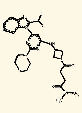 CN(C)C(=O)CCC(=O)N1CC(Nc2cc(-n3c(C(F)F)nc4ccccc43)nc(N3CCOCC3)n2)C1